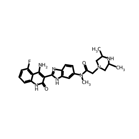 CC1CN(CC(=O)N(C)c2ccc3nc(-c4c(N)c5c(F)cccc5[nH]c4=O)[nH]c3c2)CC(C)N1